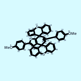 COc1ccc(-c2cc3c(s2)C2(c4ccccc4Sc4ccccc42)c2cc(-c4ccc(OC)cc4)sc2C32c3ccccc3Sc3ccccc32)cc1